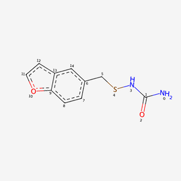 NC(=O)NSCc1ccc2occc2c1